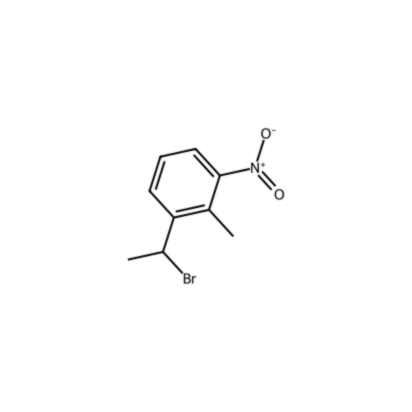 Cc1c(C(C)Br)cccc1[N+](=O)[O-]